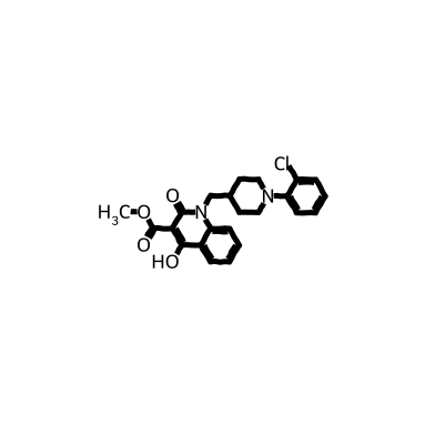 COC(=O)c1c(O)c2ccccc2n(CC2CCN(c3ccccc3Cl)CC2)c1=O